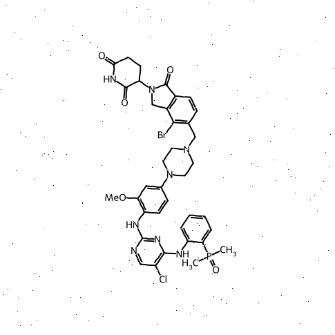 COc1cc(N2CCN(Cc3ccc4c(c3Br)CN(C3CCC(=O)NC3=O)C4=O)CC2)ccc1Nc1ncc(Cl)c(Nc2ccccc2P(C)(C)=O)n1